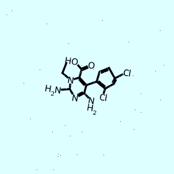 CCN1C(C(=O)O)=C(c2ccc(Cl)cc2Cl)C(N)=NC1N